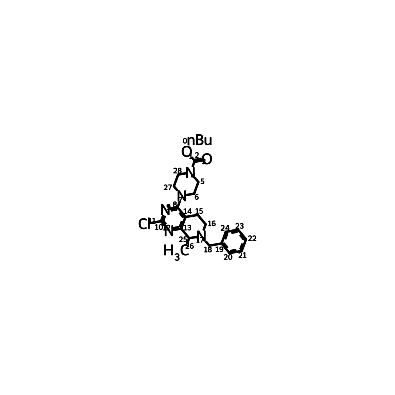 CCCCOC(=O)N1CCN(c2nc(Cl)nc3c2CCN(Cc2ccccc2)C3C)CC1